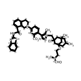 CCC1(Cn2ncc(-c3ccc(N4CCc5cccc(C(=O)Nc6nc7ccccc7s6)c5C4)nc3C(=O)O)c2C)CC2(C)CC(C)CC(OCCN(C)C=O)(C2)C1